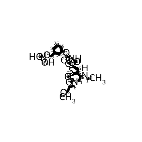 CCN[C@H]1CN(CCCOC)S(=O)(=O)c2sc(S(=O)(=O)NC(=O)Oc3cccc(CON(O)O)c3)cc21